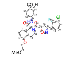 COCCOc1cccc2c1CCN(C(=O)C1CC(c3cccc(Cl)c3F)=NO1)[C@H]2C(=O)Nc1ccc(C(=O)O)cc1